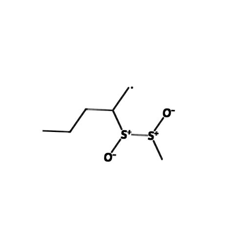 [CH2]C(CCC)[S+]([O-])[S+](C)[O-]